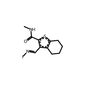 CNC(=O)c1sc2c(c1C=NI)CCCC2